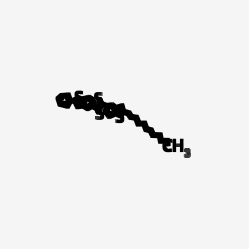 CCCCCCCCCCCCc1cc2cc3c(cc2s1)sc1c2cc4cc(-c5ccccc5)sc4cc2sc31